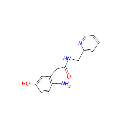 Nc1ccc(O)cc1CC(=O)NCc1ccccn1